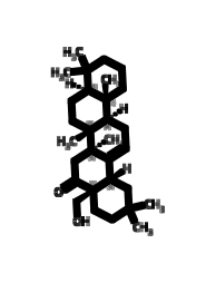 CC1(C)CC[C@]2(CO)C(=O)C[C@]3(C)C(=CC[C@@H]4[C@@]5(C)CCCC(C)(C)[C@@H]5CC[C@]43C)[C@@H]2C1